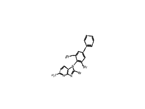 Cc1ccc2c(n1)nc(Br)n2-c1c(C(C)C)cc(-c2ccccc2)cc1C(C)C